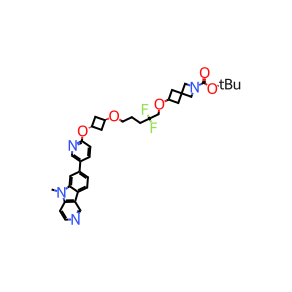 Cn1c2ccncc2c2ccc(-c3ccc(O[C@H]4C[C@H](OCCCC(F)(F)COC5CC6(C5)CN(C(=O)OC(C)(C)C)C6)C4)nc3)cc21